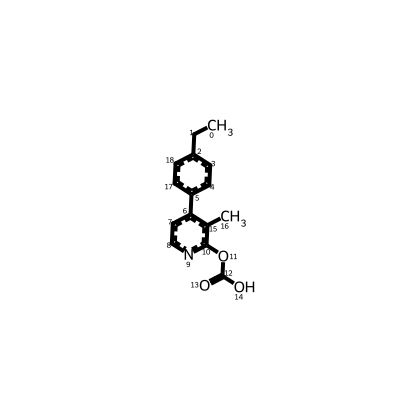 CCc1ccc(-c2ccnc(OC(=O)O)c2C)cc1